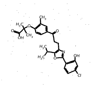 Cc1cc(C(=O)CCc2nc(-c3ccc(Cl)cc3O)oc2C(C)C)ccc1OC(C)(C)C(=O)O